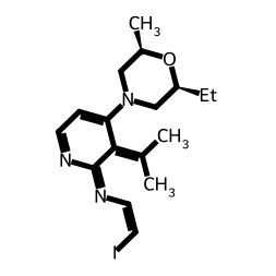 CC[C@H]1CN(C2=CC=N/C(=N/C=C\I)C2=C(C)C)C[C@@H](C)O1